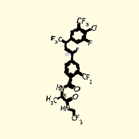 C[C@@H](NC(=O)c1ccc(/C(F)=C/C(c2cc(F)c(Cl)c(C(F)(F)F)c2)C(F)(F)F)cc1C(F)(F)F)C(=O)NCC(F)(F)F